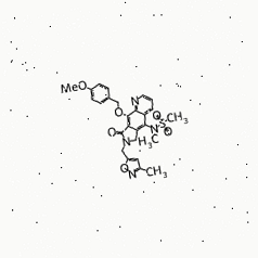 COc1ccc(COc2c3c(c(N(C)S(C)(=O)=O)c4cccnc24)CN(Cc2cc(C)no2)C3=O)cc1